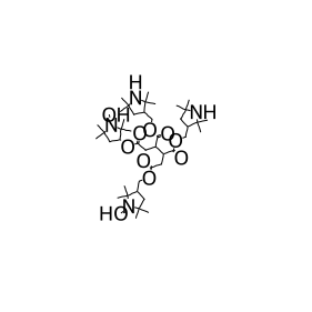 CC1(C)CC(COC(=O)C(CC(=O)OCC2CC(C)(C)N(O)C2(C)C)C(CC(=O)OC2CC(C)(C)N(O)C2(C)C)C(=O)OCC2CC(C)(C)NC2(C)C)C(C)(C)N1